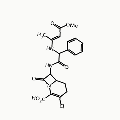 COC(=O)C=C(C)NC(C(=O)NC1C(=O)N2C(C(=O)O)=C(Cl)CCC12)c1ccccc1